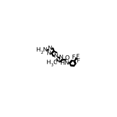 Cn1cc(C(=O)Nc2cccc(C(F)(F)F)c2)nc1N1Cc2cnc(N)nc2C1